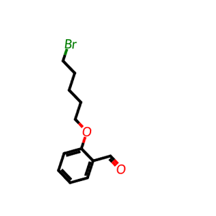 O=Cc1ccccc1OCCCCCBr